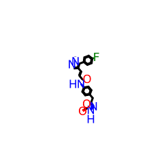 Cn1ncc(/C=C/C(=O)Nc2ccc(Cc3n[nH]c(=O)o3)cc2)c1-c1ccc(F)cc1